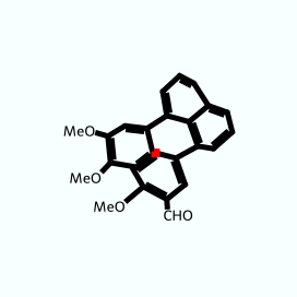 COc1ccc(-c2cccc3cccc(-c4ccc(OC)c(OC)c4)c23)cc1C=O